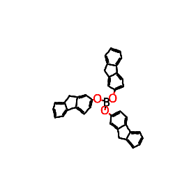 c1ccc2c(c1)Cc1cc(OB(Oc3ccc4c(c3)Cc3ccccc3-4)Oc3ccc4c(c3)Cc3ccccc3-4)ccc1-2